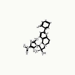 C[C@](O)(CN1CCc2nc(-c3ccccc3F)ccc2C1)Cn1cc([N+](=O)[O-])nc1Cl